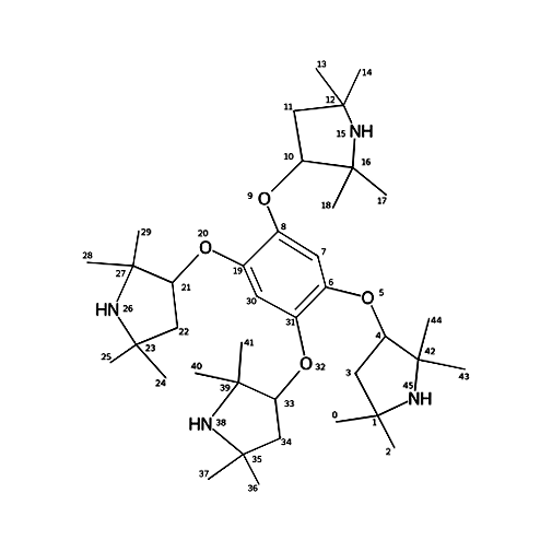 CC1(C)CC(Oc2cc(OC3CC(C)(C)NC3(C)C)c(OC3CC(C)(C)NC3(C)C)cc2OC2CC(C)(C)NC2(C)C)C(C)(C)N1